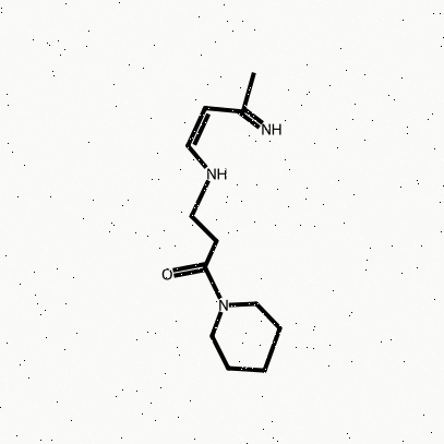 CC(=N)/C=C\NCCC(=O)N1CCCCC1